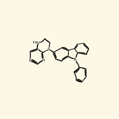 c1ccc(-n2c3ccccc3c3cc(N4CCNc5cncnc54)ccc32)cc1